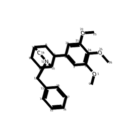 COc1cc(C2CC3CCC2N(Cc2ccccc2)C3)cc(OC)c1OC